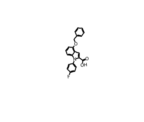 O=C(O)c1cc2c(OCc3ccccc3)cccc2n1-c1ccc(F)cc1